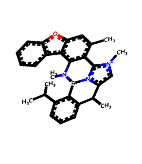 Cc1cc2oc3ccccc3c2c2c1-c1n3c(c[n+]1C)C(C)c1cccc(C(C)C)c1B3N2C